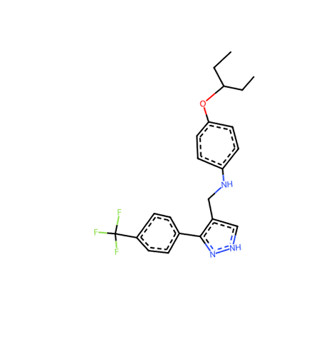 CCC(CC)Oc1ccc(NCc2c[nH]nc2-c2ccc(C(F)(F)F)cc2)cc1